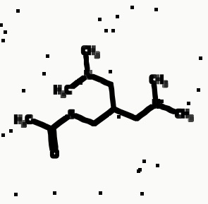 CC(=O)SCC(CN(C)C)CN(C)C